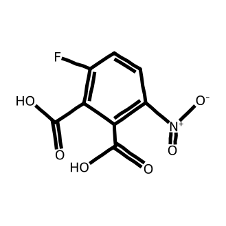 O=C(O)c1c(F)ccc([N+](=O)[O-])c1C(=O)O